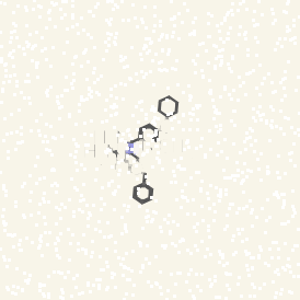 Cc1nc(/C(N)=C(\COCc2ccccc2)N(C)N)ccc1OC1CCCCC1